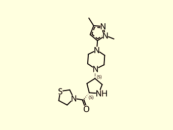 Cc1cc(N2CCN([C@@H]3CN[C@H](C(=O)N4CCSC4)C3)CC2)n(C)n1